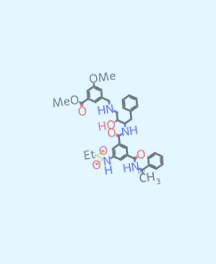 CCS(=O)(=O)Nc1cc(C(=O)NC(Cc2ccccc2)C(O)CNCc2cc(OC)cc(C(=O)OC)c2)cc(C(=O)N[C@H](C)c2ccccc2)c1